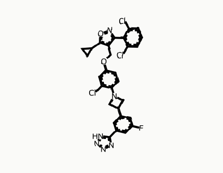 Fc1cc(-c2nnn[nH]2)cc(C2CN(c3ccc(OCc4c(-c5c(Cl)cccc5Cl)noc4C4CC4)cc3Cl)C2)c1